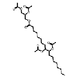 CCCCCCCCC(OC(C)=O)C(CCCCCCCC(=O)OCC(COC(C)=O)OC(C)=O)OC(C)=O